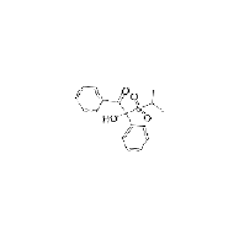 CC(C)S(=O)(=O)C(O)(C(=O)c1ccccc1)c1ccccc1